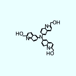 OCc1ccc2cc(N(c3ccc4nc(CO)ccc4c3)c3ccc4nc(CO)ccc4c3)ccc2n1